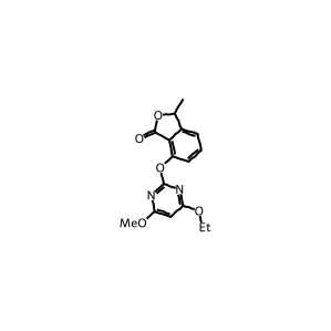 CCOc1cc(OC)nc(Oc2cccc3c2C(=O)OC3C)n1